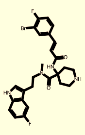 CN(CCc1c[nH]c2ccc(F)cc12)C(=O)C1(NC(=O)/C=C/c2ccc(F)c(Br)c2)CCNCC1